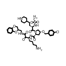 CS(=O)(=O)N[C@H](CCC1CCNCC1)C(=O)N1C[C@H](OCc2ccc(Cl)cc2)C[C@H]1C(=O)N[C@@H](CCCCN)C(=O)C(=O)NCC1COc2ccccc2O1